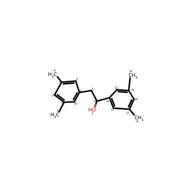 Cc1cc(C)cc(CC(O)c2cc(C)cc(C)c2)c1